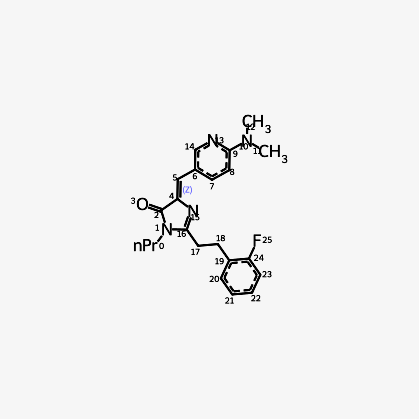 CCCN1C(=O)/C(=C/c2ccc(N(C)C)nc2)N=C1CCc1ccccc1F